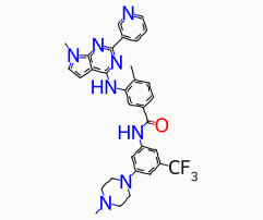 Cc1ccc(C(=O)Nc2cc(N3CCN(C)CC3)cc(C(F)(F)F)c2)cc1Nc1nc(-c2cccnc2)nc2c1ccn2C